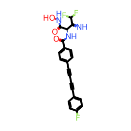 N=C(C(F)F)[C@H](NC(=O)c1ccc(C#CC#Cc2ccc(F)cc2)cc1)C(=O)NO